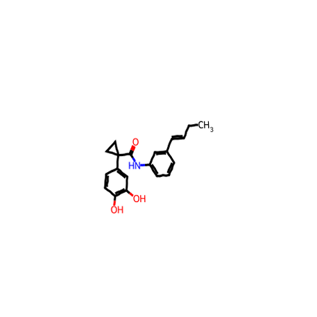 CC/C=C/c1cccc(NC(=O)C2(c3ccc(O)c(O)c3)CC2)c1